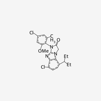 CCC(CC)c1ccc(Cl)c2nc3n(c12)CC(=O)N3c1c(C)cc(Cl)cc1OC